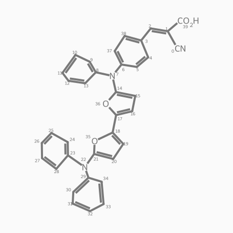 N#C/C(=C\c1ccc(N(c2ccccc2)c2ccc(-c3ccc(N(c4ccccc4)c4ccccc4)o3)o2)cc1)C(=O)O